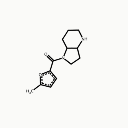 Cc1ccc(C(=O)N2CCC3NCCCC32)o1